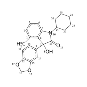 Cc1cccc2c1C(O)(c1ccc3c(c1)OCO3)C(=O)N2C1CCCCC1